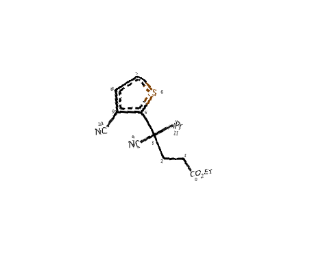 CCOC(=O)CCC(C#N)(c1sccc1C#N)C(C)C